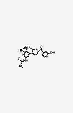 CC1CN(C(=O)c2ccnc(O)c2)CC=C1c1cc(NC(=O)C2CC2)nc2[nH]ccc12